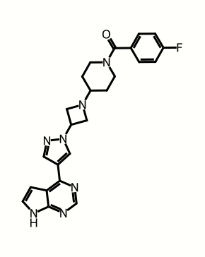 O=C(c1ccc(F)cc1)N1CCC(N2CC(n3cc(-c4ncnc5[nH]ccc45)cn3)C2)CC1